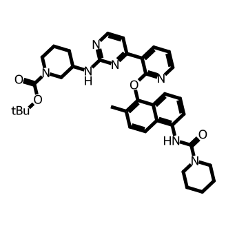 Cc1ccc2c(NC(=O)N3CCCCC3)cccc2c1Oc1ncccc1-c1ccnc(NC2CCCN(C(=O)OC(C)(C)C)C2)n1